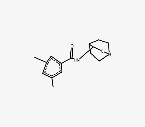 Cc1cc(C)cc(C(=O)NC2CN3CCC2CC3)c1